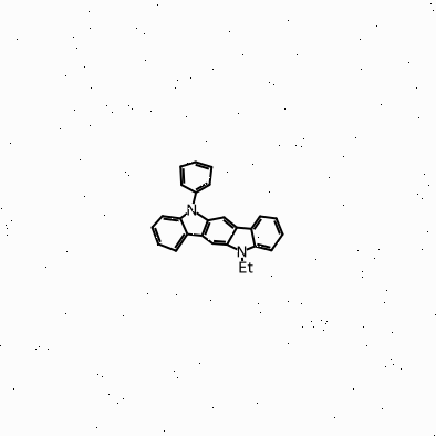 CCn1c2ccccc2c2cc3c(cc21)c1ccccc1n3-c1ccccc1